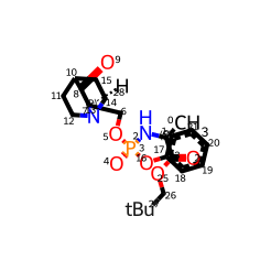 C[C@H](NP(=O)(OC[C@@H]1C(=O)C2CCN1CC2)Oc1ccccc1)C(=O)OCC(C)(C)C